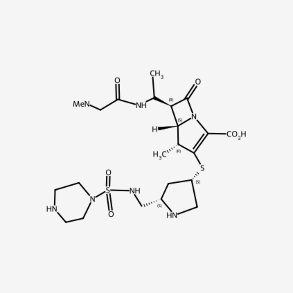 CNCC(=O)NC(C)[C@H]1C(=O)N2C(C(=O)O)=C(S[C@@H]3CN[C@H](CNS(=O)(=O)N4CCNCC4)C3)[C@H](C)[C@H]12